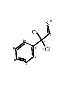 S=[C]C(Cl)(Cl)c1ccccc1